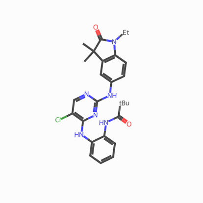 CCN1C(=O)C(C)(C)c2cc(Nc3ncc(Cl)c(Nc4ccccc4NC(=O)C(C)(C)C)n3)ccc21